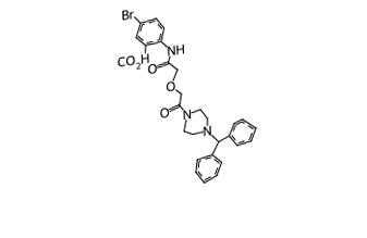 O=C(COCC(=O)N1CCN(C(c2ccccc2)c2ccccc2)CC1)Nc1ccc(Br)cc1C(=O)O